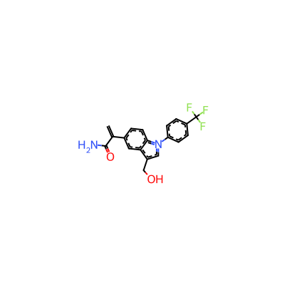 C=C(C(N)=O)c1ccc2c(c1)c(CO)cn2-c1ccc(C(F)(F)F)cc1